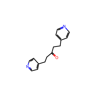 O=C(CCc1ccncc1)CCc1ccncc1